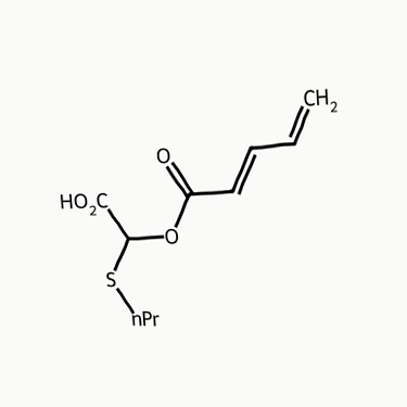 C=CC=CC(=O)OC(SCCC)C(=O)O